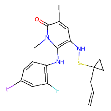 C=CCC1(SNc2cc(C)c(=O)n(C)c2Nc2ccc(I)cc2F)CC1